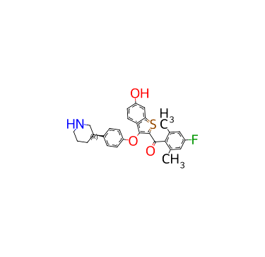 Cc1cc(F)cc(C)c1C(=O)c1sc2cc(O)ccc2c1Oc1ccc([C@H]2CCCNC2)cc1